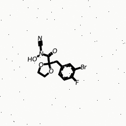 N#CN(O)C(=O)C1(Cc2ccc(F)c(Br)c2)OCCO1